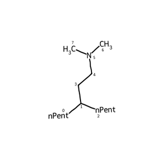 CCCCCC(CCCCC)CCN(C)C